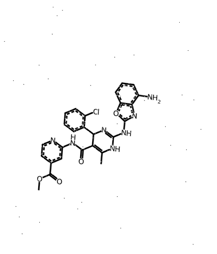 COC(=O)c1ccnc(NC(=O)C2=C(C)NC(Nc3nc4c(N)cccc4o3)=NC2c2ccccc2Cl)c1